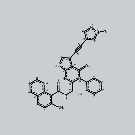 C[C@H](NC(=O)c1c(N)ccc2cccnc12)c1nc2occ(C#Cc3cnn(C)c3)c2c(=O)n1-c1ccccc1